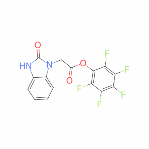 O=C(Cn1c(=O)[nH]c2ccccc21)Oc1c(F)c(F)c(F)c(F)c1F